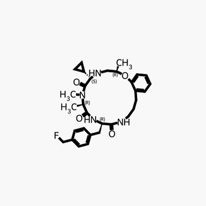 C[C@@H]1CN[C@@H](C2CC2)C(=O)N(C)[C@H](C)C(=O)N[C@H](Cc2ccc(CF)cc2)C(=O)NCCCc2ccccc2O1